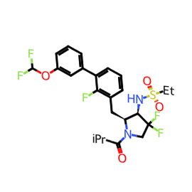 CCS(=O)(=O)N[C@@H]1[C@H](Cc2cccc(-c3cccc(OC(F)F)c3)c2F)N(C(=O)C(C)C)CC1(F)F